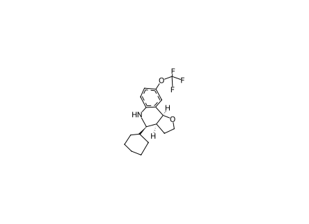 FC(F)(F)Oc1ccc2c(c1)[C@H]1OCC[C@H]1[C@@H](C1CCCCC1)N2